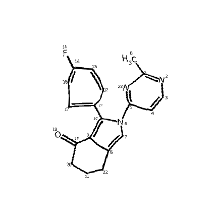 Cc1nccc(-n2cc3c(c2-c2ccc(F)cc2)C(=O)CCC3)n1